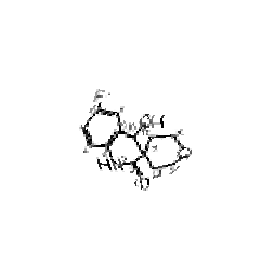 O=C1Nc2ccc(F)cc2C(O)C12CCOCC2